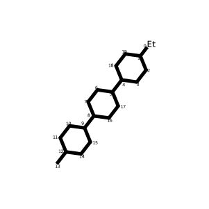 CCC1CCC(C2CCC(C3CCC(C)CC3)CC2)CC1